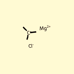 C[C-](C)C.[Cl-].[Mg+2]